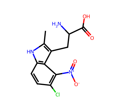 Cc1[nH]c2ccc(Cl)c([N+](=O)[O-])c2c1CC(N)C(=O)O